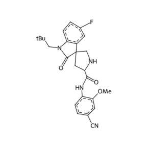 COc1cc(C#N)ccc1NC(=O)C1CC2(CN1)C(=O)N(CC(C)(C)C)c1ccc(F)cc12